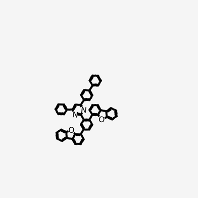 c1ccc(-c2ccc(-c3cc(-c4ccccc4)nc(-c4cc(-c5cccc6c5oc5ccccc56)ccc4-c4cccc5c4oc4ccccc45)n3)cc2)cc1